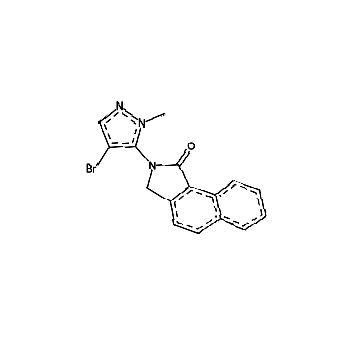 Cn1ncc(Br)c1N1Cc2ccc3ccccc3c2C1=O